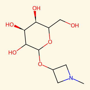 CN1CC(OC2OC(CO)[C@H](O)[C@H](O)C2O)C1